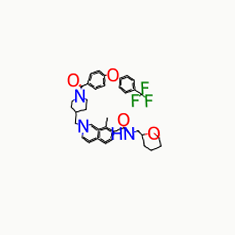 Cc1c(C(=O)NC[C@@H]2CCCCO2)ccc2c1=CN(CC1CCN(C(=O)c3ccc(Oc4ccc(C(F)(F)F)cc4)cc3)CC1)C=C=2